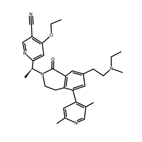 CCOc1cc([C@H](C)N2CCc3c(cc(CCN(C)CC)cc3-c3cc(C)ncc3C)C2=O)ncc1C#N